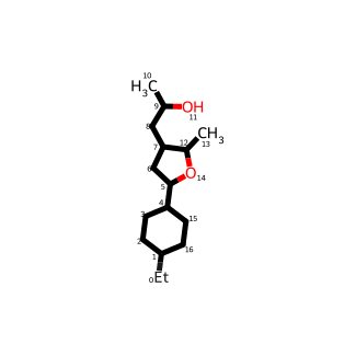 CCC1CCC(C2CC(CC(C)O)C(C)O2)CC1